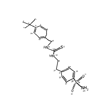 CC(C)(C)c1ccc(CNC(=S)NCCc2ccc(S(N)(=O)=O)cc2)cc1